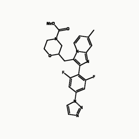 COC(=O)N1CCOC(Cc2c(-c3c(F)cc(-n4ccnn4)cc3F)nc3cc(C)ccn23)C1